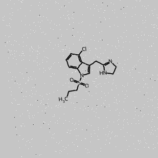 CCCS(=O)(=O)n1cc(CC2=NCCN2)c2c(Cl)cccc21